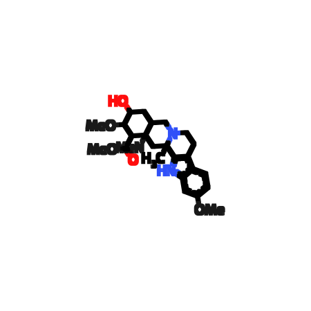 CNC12CC3(C)c4[nH]c5cc(OC)ccc5c4CCN3CC1CC(O)C(OC)C2C(=O)OC